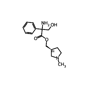 CN1CC[C@H](COC(=O)C(N)(CO)c2ccccc2)C1